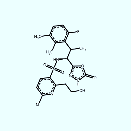 Cc1ccc(F)c(C(C)[C@H](NS(=O)(=O)c2ccc(Cl)nc2CCO)c2n[nH]c(=O)o2)c1C